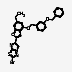 CCc1cc(OCc2cccc(OCc3ccccc3)c2)c2cc(-c3cn4nc(Br)sc4n3)oc2c1